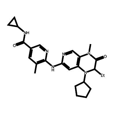 CCC1C(=O)N(C)c2cnc(Nc3ncc(C(=O)NC4CC4)cc3C)cc2N1C1CCCC1